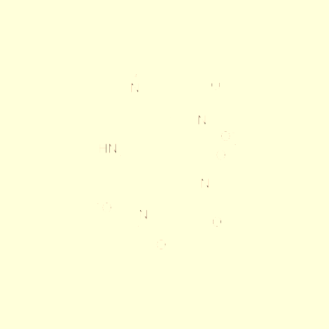 O=[N+]([O-])c1nc[nH]c1C([N+](=O)[O-])[N+](=O)[O-]